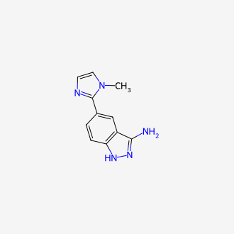 Cn1ccnc1-c1ccc2[nH]nc(N)c2c1